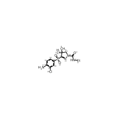 CCNC(=O)N1CC(C)(C)C(S(=O)(=O)c2ccc(N)c(Cl)c2)=N1